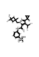 CC1(Cn2nc(C3(F)CC3)c(C(F)F)c2C(=O)Nc2cccc(S(C)(=N)=O)c2)CC(F)(F)C1